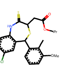 COc1cccc(C2SC(CC(=O)OC(C)C)C(=S)Nc3ccc(Cl)cc32)c1C